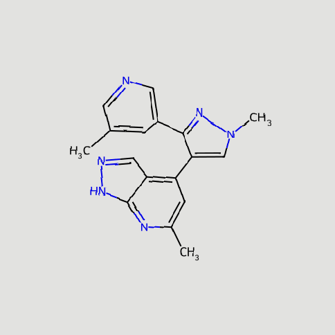 Cc1cncc(-c2nn(C)cc2-c2cc(C)nc3[nH]ncc23)c1